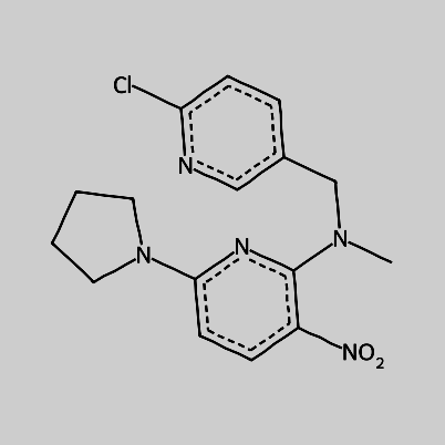 CN(Cc1ccc(Cl)nc1)c1nc(N2CCCC2)ccc1[N+](=O)[O-]